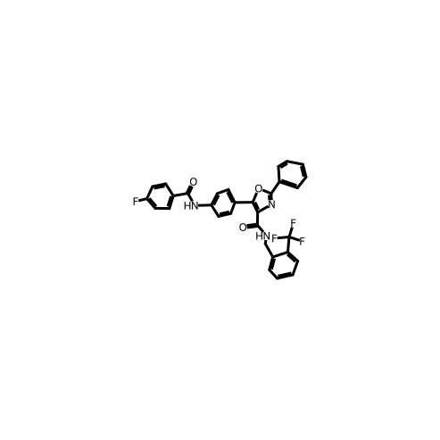 O=C(Nc1ccc(-c2oc(-c3ccccc3)nc2C(=O)NCc2ccccc2C(F)(F)F)cc1)c1ccc(F)cc1